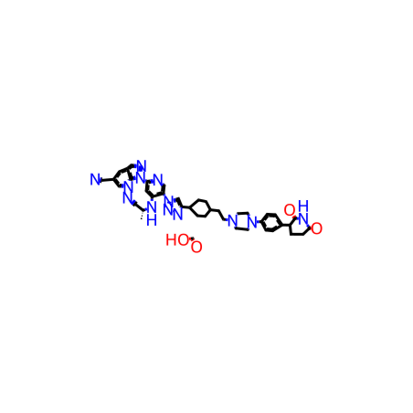 C[C@H](C#N)Nc1cc(-n2ncc3cc(C#N)cnc32)ncc1-n1cc(C2CCC(CCN3CCN(c4ccc(C5CCC(=O)NC5=O)cc4)CC3)CC2)nn1.O=CO